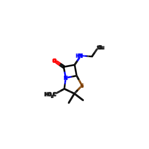 CC(C)(C)CNC1C(=O)N2C1SC(C)(C)C2C(=O)O